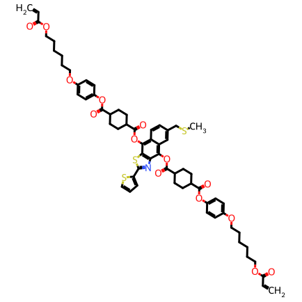 C=CC(=O)OCCCCCCOc1ccc(OC(=O)C2CCC(C(=O)Oc3c4cc(CSC)ccc4c(OC(=O)C4CCC(C(=O)Oc5ccc(OCCCCCCOC(=O)C=C)cc5)CC4)c4sc(-c5cccs5)nc34)CC2)cc1